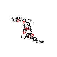 C=C(CC(O)/C=C/C[C@H](OCc1ccc(OC)cc1)C(/C=C/[C@@H]1CC(C)=CCO1)O[Si](C)(C)C(C)(C)C)C[C@H](C)C[C@@H]1CC=C[C@@H](CCO[Si](C)(C)C(C)(C)C)O1